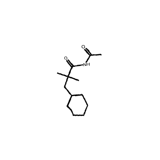 CC(=O)NC(=O)C(C)(C)CC1CCCCC1